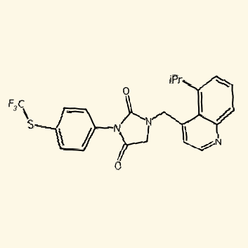 CC(C)c1cccc2nccc(CN3CC(=O)N(c4ccc(SC(F)(F)F)cc4)C3=O)c12